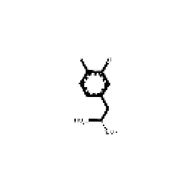 CN[C@@H](Cc1ccc(C)c(Cl)c1)C(=O)O